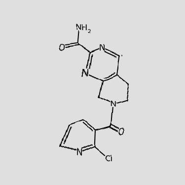 NC(=O)c1n[c]c2c(n1)CN(C(=O)c1cccnc1Cl)CC2